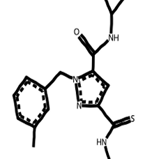 CNC(=S)c1cc(C(=O)NC2CC2)n(Cc2cccc(C)c2)n1